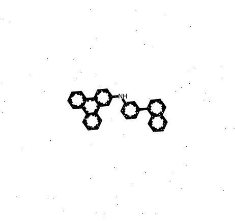 c1cc(Nc2ccc3c4ccccc4c4ccccc4c3c2)cc(-c2cccc3ccccc23)c1